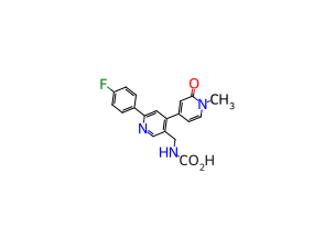 Cn1ccc(-c2cc(-c3ccc(F)cc3)ncc2CNC(=O)O)cc1=O